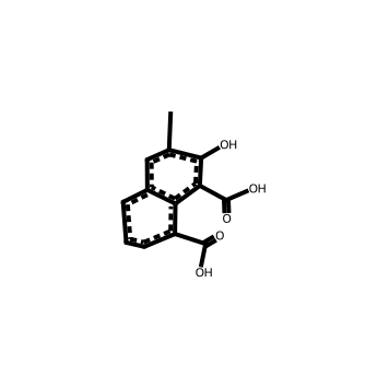 Cc1cc2cccc(C(=O)O)c2c(C(=O)O)c1O